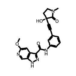 COc1cc2c(C(=O)Nc3cccc(C#C[C@]4(O)CCN(C)C4=O)c3)n[nH]c2cn1